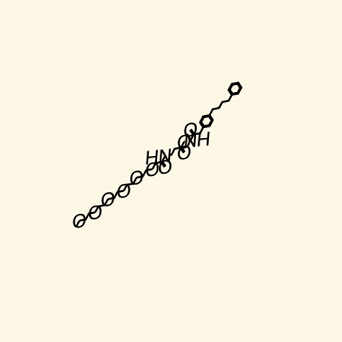 COCCOCCOCCOCCOCCOCC(=O)NCCC(=O)ONC(=O)Cc1ccc(CCCCc2ccccc2)cc1